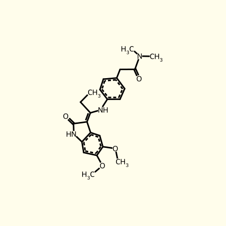 CCC(Nc1ccc(CC(=O)N(C)C)cc1)=C1C(=O)Nc2cc(OC)c(OC)cc21